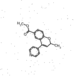 COC(=O)c1ccc2c(c1)C(c1ccncc1)=CC(C)O2